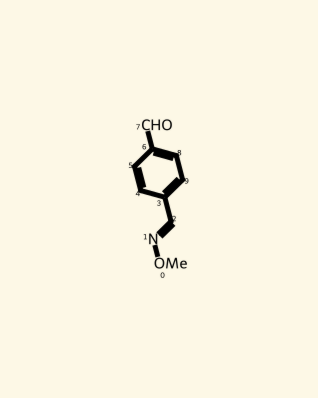 CON=Cc1ccc(C=O)cc1